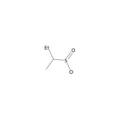 CCC(C)S([O])=O